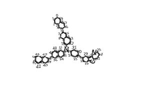 c1ccc2cc(-c3ccc4cc(N(c5ccc(-c6ccc7oc8cccnc8c7c6)cc5)c5ccc6cc(-c7ccc8ccccc8c7)ccc6c5)ccc4c3)ccc2c1